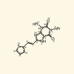 CCCn1c(=O)c2[nH]c(C=Cc3cccs3)nc2n(CCC)c1=O